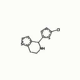 Clc1ccc(C2NCCc3sccc32)s1